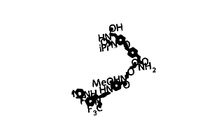 COc1cc(C(=O)NCCOCCOC(Cc2ccc(COc3ccc4c(c3)N(C)[C@@H](C(C)C)C(=O)N[C@H](CO)C4)cc2)C(N)=O)ccc1NCC#Cc1cc2c(N[C@@H]3CCN(C)C[C@@H]3F)cccc2n1CC(F)(F)F